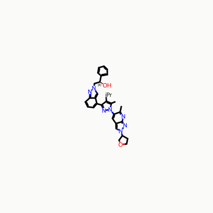 Cc1nc2nn(C3CCOC3)cc2cc1-n1nc(-c2cccc3nn(C[C@H](O)c4ccccc4)cc23)c(C(C)C)c1C